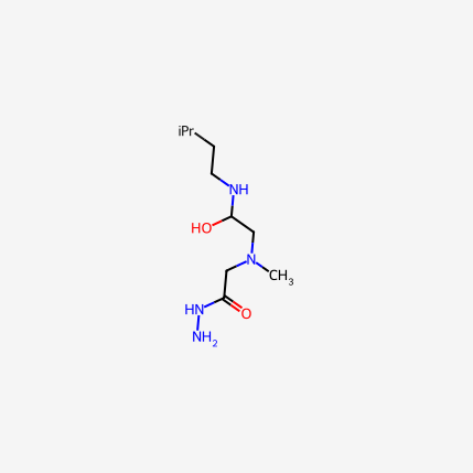 CC(C)CCNC(O)CN(C)CC(=O)NN